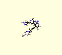 CCN1CCN(C(C)(C)C#Cc2c(F)cnc3[nH]c4cnc(-c5cnn(C)c5)cc4c23)CC1